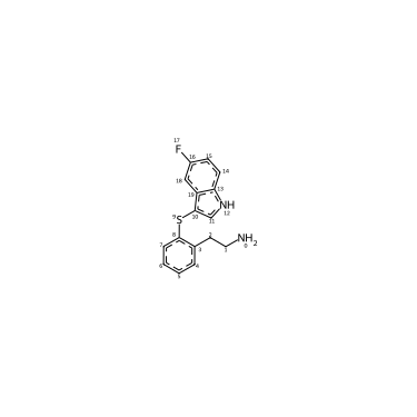 NCCc1ccccc1Sc1c[nH]c2ccc(F)cc12